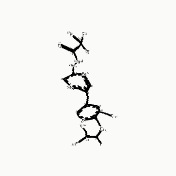 CC(Oc1ncc(-c2cnc(NNC(=O)C(F)(F)Br)cn2)cc1F)C(F)F